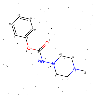 CN1CCN(NC(=O)Oc2ccccc2)CC1